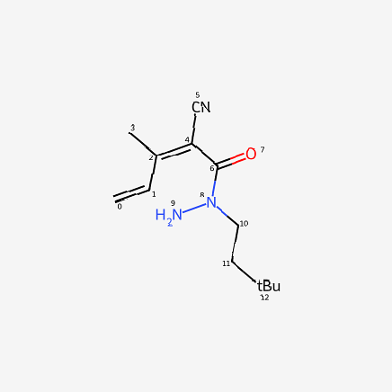 C=C/C(C)=C(/C#N)C(=O)N(N)CCC(C)(C)C